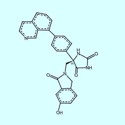 O=C1NC(=O)[C@](CN2Cc3ccc(O)cc3C2=O)(c2ccc(-c3cccc4ccncc34)cc2)N1